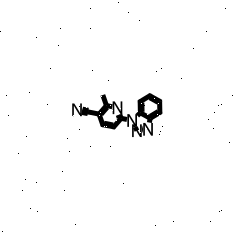 Cc1nc(-n2nnc3ccccc32)ccc1C#N